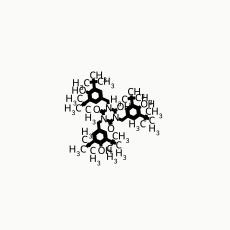 CC(C)(C)c1cc(CN2C(=O)N(Cc3cc(C(C)(C)C)c(O)c(C(C)(C)C)c3)C(O)N(Cc3cc(C(C)(C)C)c(O)c(C(C)(C)C)c3)C2=O)cc(C(C)(C)C)c1O